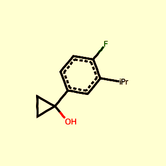 CC(C)c1cc(C2(O)CC2)ccc1F